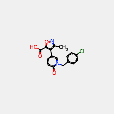 Cc1noc(C(=O)O)c1-c1ccc(=O)n(Cc2ccc(Cl)cc2)c1